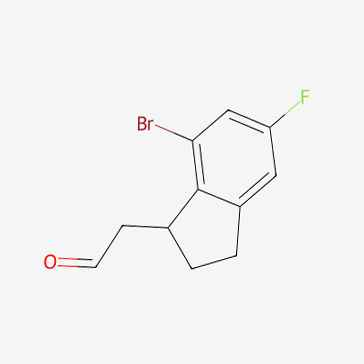 O=CCC1CCc2cc(F)cc(Br)c21